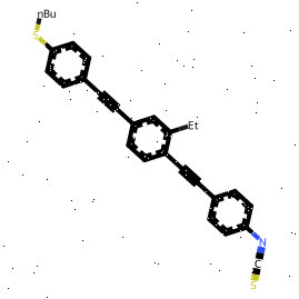 CCCCSc1ccc(C#Cc2ccc(C#Cc3ccc(N=C=S)cc3)c(CC)c2)cc1